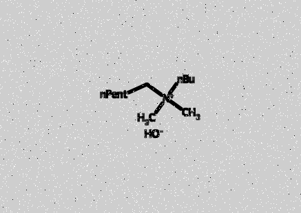 CCCCCC[N+](C)(C)CCCC.[OH-]